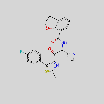 Cc1nc(C(=O)C(NC(=O)c2cccc3c2OCC3)C2CCN2)c(-c2ccc(F)cc2)s1